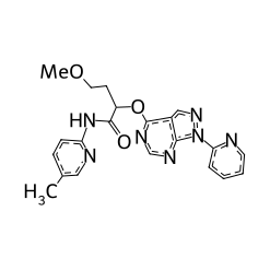 COCCC(Oc1ncnc2c1cnn2-c1ccccn1)C(=O)Nc1ccc(C)cn1